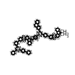 CC1(C)c2ccccc2-c2c1ccc1c2Oc2cc(-c3ccc(-c4cc(-c5ccc6c(ccc7ccccc76)c5)nc(-c5ccc(CC6(C)c7ccccc7-c7c6ccc6c7Oc7cc(-c8cccc(-c9cc(-c%10ccccc%10)nc(-c%10ccc(-c%11ccccc%11)cc%10)n9)c8)ccc7O6)cc5)n4)cc3)ccc2O1